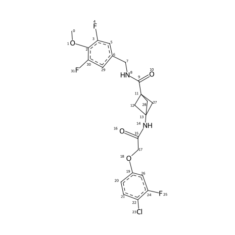 COc1c(F)cc(CNC(=O)C23CC(NC(=O)COc4ccc(Cl)c(F)c4)(C2)C3)cc1F